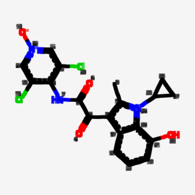 Cc1c(C(=O)C(=O)Nc2c(Cl)c[n+]([O-])cc2Cl)c2cccc(O)c2n1C1CC1